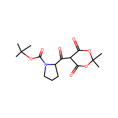 CC(C)(C)OC(=O)N1CCCC1C(=O)C1C(=O)OC(C)(C)OC1=O